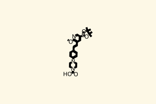 COc1ncc(B2OC(C)(C)C(C)(C)O2)cc1C=Cc1ccc(N2CCN(C(=O)O)CC2)cc1